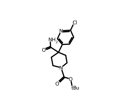 CC(C)(C)OC(=O)N1CCC(C(N)=O)(c2ccc(Cl)nc2)CC1